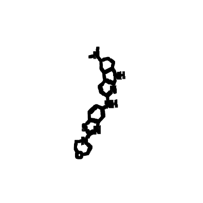 CN(C)C1CCc2[nH]c3nc(Nc4ccc5sc(N6CCOCC6)nc5c4)ccc3c2C1